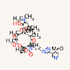 CC[C@H]1OC(=O)[C@H](C)C(=O)[C@H](C)[C@@H](OC2O[C@H](C)C[C@H](N(C)C)[C@H]2O)[C@@](C)(OC)C[C@@H](C)C(=O)[C@H](C)[C@H]2N(CCCCn3cnc(-c4cnccc4OC)c3)C(=O)O[C@]12C